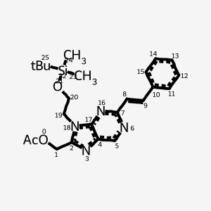 CC(=O)OCc1nc2cnc(C=Cc3ccccc3)nc2n1CCO[Si](C)(C)C(C)(C)C